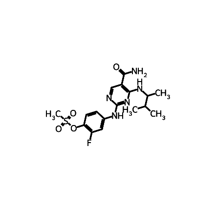 CC(C)C(C)Nc1nc(Nc2ccc(OS(C)(=O)=O)c(F)c2)ncc1C(N)=O